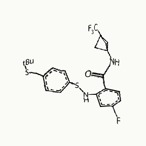 CC(C)(C)Sc1ccc(SNc2cc(F)ccc2C(=O)NC23CC(C(F)(F)F)(C2)C3)cc1